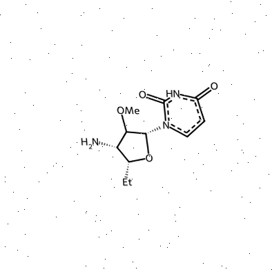 CC[C@H]1O[C@@H](n2ccc(=O)[nH]c2=O)C(OC)[C@H]1N